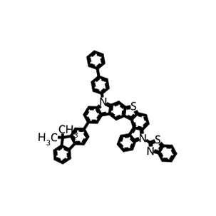 CC1(C)c2ccccc2-c2ccc(-c3ccc4c(c3)c3cc5c(cc3n4-c3ccc(-c4ccccc4)cc3)sc3ccc4c(c6ccccc6n4-c4nc6ccccc6s4)c35)cc21